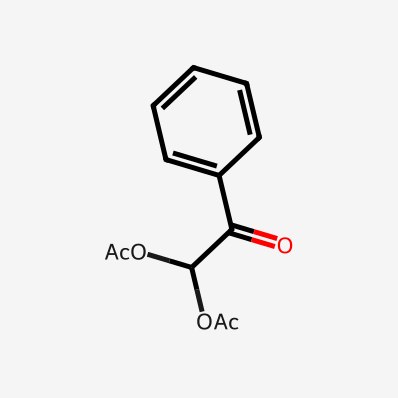 CC(=O)OC(OC(C)=O)C(=O)c1ccccc1